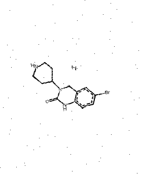 O=C1Nc2ccc(Br)cc2CN1C1CCNCC1.[H]